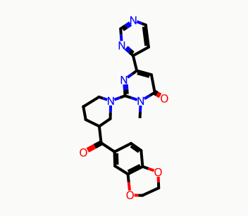 Cn1c(N2CCCC(C(=O)c3ccc4c(c3)OCCO4)C2)nc(-c2ccncn2)cc1=O